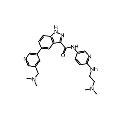 CN(C)CCNc1ccc(NC(=O)c2n[nH]c3ccc(-c4cncc(CN(C)C)c4)cc23)cn1